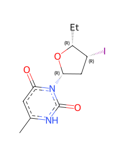 CC[C@H]1O[C@@H](n2c(=O)cc(C)[nH]c2=O)C[C@H]1I